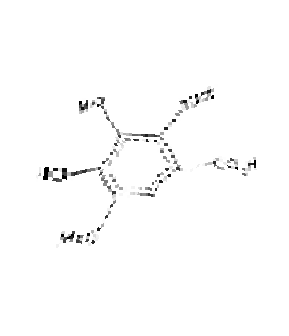 CCCCCCCCc1c(C(=O)O)cc(OC)c(O)c1OC